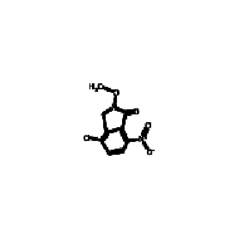 CON1Cc2c(Cl)ccc([N+](=O)[O-])c2C1=O